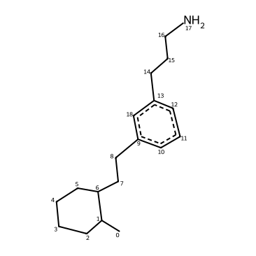 CC1CCCCC1CCc1cccc(CCCN)c1